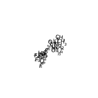 CC(C)C[C@H](N)C(=O)N(CCCCNS(=O)(=O)c1ccc(F)cc1C(F)(F)F)C(=O)NC1CCCCC1